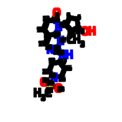 C[C@H]1[C@H](O)CC[C@H]1n1c(=O)ccc2cnc(NC3CCN(S(C)(=O)=O)CC3)nc21